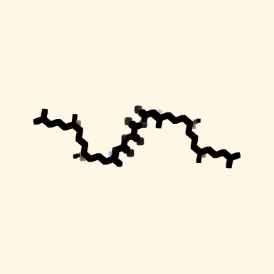 C/C(=C\C(=O)OC(=O)C(=O)OC(=O)/C=C(\C)CCC[C@H](C)CCC[C@H](C)CCCC(C)C)CCC[C@H](C)CCC[C@H](C)CCCC(C)C